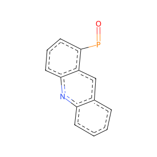 O=Pc1cccc2nc3ccccc3cc12